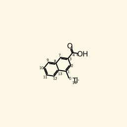 Cc1cc(C(=O)O)cc2ccccc12.[Tl]